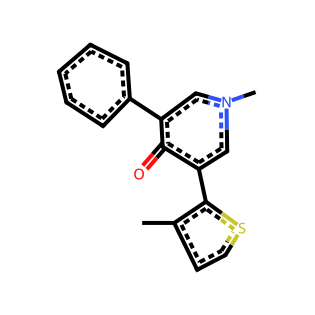 Cc1ccsc1-c1cn(C)cc(-c2ccccc2)c1=O